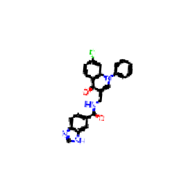 O=C(NCc1cn(-c2ccccc2)c2cc(Cl)ccc2c1=O)c1ccc2nc[nH]c2c1